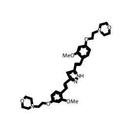 COc1cc(OCCN2CCOCC2)ccc1C=Cc1cc(C=Cc2ccc(OCCN3CCOCC3)cc2OC)[nH]n1